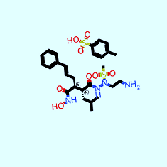 CC(C)C[C@@H](C(=O)NN(CCN)S(C)(=O)=O)[C@H](CC=Cc1ccccc1)C(=O)NO.Cc1ccc(S(=O)(=O)O)cc1